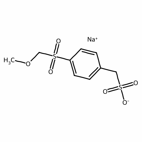 COCS(=O)(=O)c1ccc(CS(=O)(=O)[O-])cc1.[Na+]